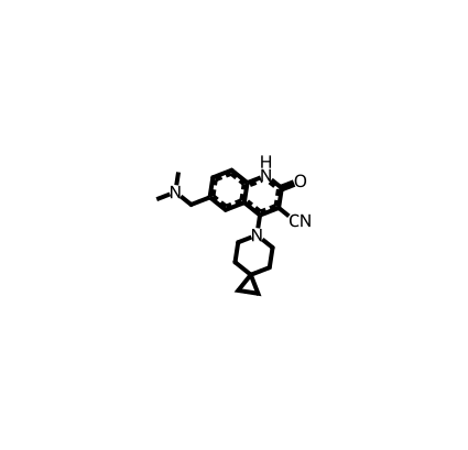 CN(C)Cc1ccc2[nH]c(=O)c(C#N)c(N3CCC4(CC3)CC4)c2c1